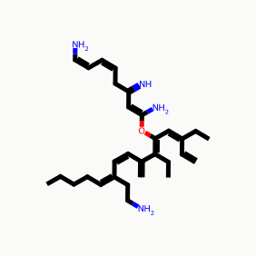 C=C/C(=C\C(O/C(N)=C/C(=N)C/C=C\C=C/N)=C(/CC)C(=C)/C=C\C(=C/CCCC)CCN)CC